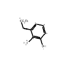 CCOC(=O)Cc1cccc(O)c1C